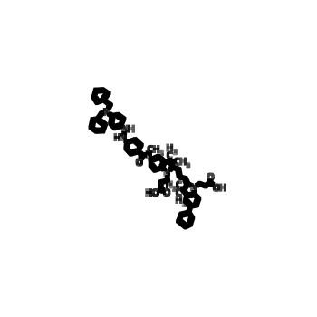 CN(C(=O)c1ccc(NNc2ccc(N(Cc3ccccc3)Cc3ccccc3)cc2)cc1)c1ccc2c(c1)C(C)(C)C(/C=C/C=C1/N(CCC(=O)O)c3ccc(-c4ccccc4)cc3C1(C)C)N2CCC(=O)O